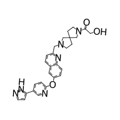 O=C(CO)N1CCC2(CCN(Cc3ccc4cc(Oc5ccc(-c6ccn[nH]6)cn5)ccc4n3)C2)C1